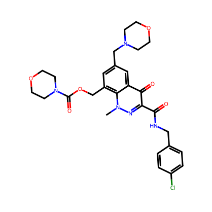 Cn1nc(C(=O)NCc2ccc(Cl)cc2)c(=O)c2cc(CN3CCOCC3)cc(COC(=O)N3CCOCC3)c21